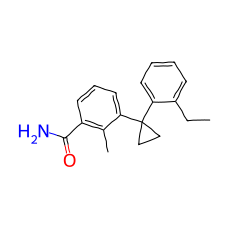 CCc1ccccc1C1(c2cccc(C(N)=O)c2C)CC1